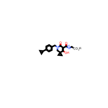 O=C(O)CNC(=O)C1=C(O)C2(CC2)CN(Cc2ccc(C3CC3)cc2)C1=O